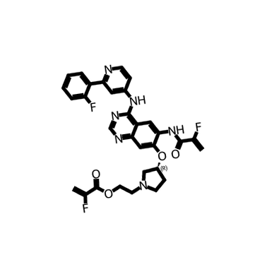 C=C(F)C(=O)Nc1cc2c(Nc3ccnc(-c4ccccc4F)c3)ncnc2cc1O[C@@H]1CCN(CCOC(=O)C(=C)F)C1